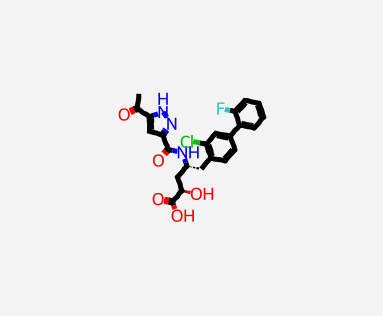 CC(=O)c1cc(C(=O)N[C@H](Cc2ccc(-c3ccccc3F)cc2Cl)C[C@@H](O)C(=O)O)n[nH]1